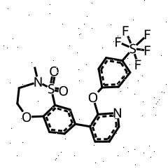 CN1CCOc2ccc(-c3cccnc3Oc3ccc(S(F)(F)(F)(F)F)cc3)cc2S1(=O)=O